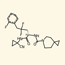 N#CC1(NC(=O)[C@H](CC(F)(F)Cc2ccccc2F)NC(=O)N2CCC3(CC2)CC3)CC1